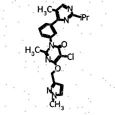 Cc1cnc(C(C)C)nc1-c1cccc(-n2c(C)nc(OCc3ccn(C)n3)c(Cl)c2=O)c1